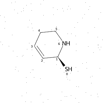 S[C@H]1C=CCCN1